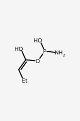 CCC=C(O)OP(N)O